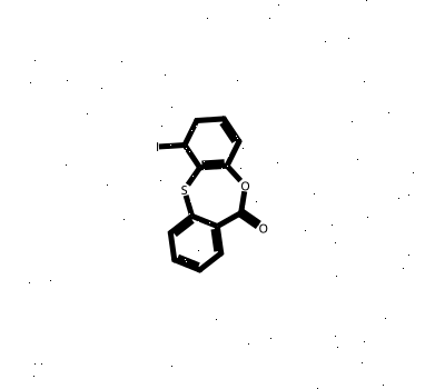 O=C1OC2=C(Sc3ccccc31)C(I)CC=C2